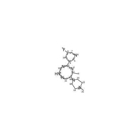 Cc1nc(-c2cncc(F)c2)nc[nH]ncc1N1CCN(C)CC1